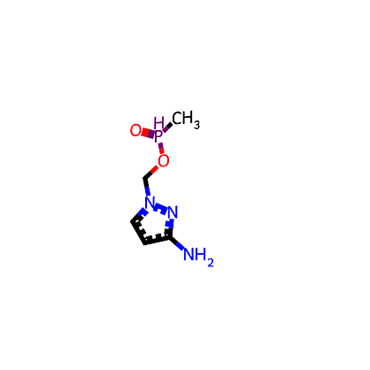 C[PH](=O)OCn1ccc(N)n1